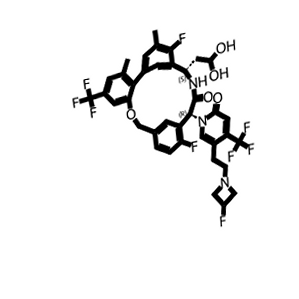 Cc1cc2cc(c1F)[C@H](CC(O)O)NC(=O)[C@H](n1cc(CCN3CC(F)C3)c(C(F)(F)F)cc1=O)c1cc(ccc1F)COc1cc(C(F)(F)F)cc(C)c1-2